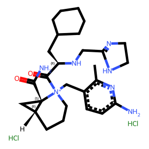 Cc1nc(N)ccc1C[N+]1(C(=O)[C@@H](CC2CCCCC2)NCC2=NCCN2)CCC[C@@H]2C[C@@]21C(N)=O.Cl.Cl